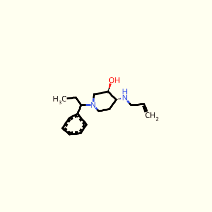 C=CCN[C@@H]1CCN(C(CC)c2ccccc2)C[C@H]1O